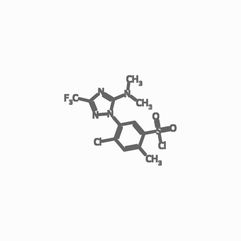 Cc1cc(Cl)c(-n2nc(C(F)(F)F)nc2N(C)C)cc1S(=O)(=O)Cl